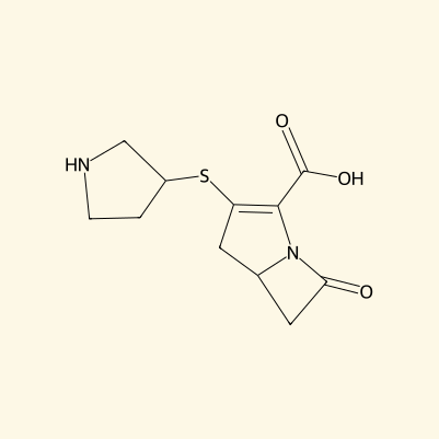 O=C(O)C1=C(SC2CCNC2)CC2CC(=O)N12